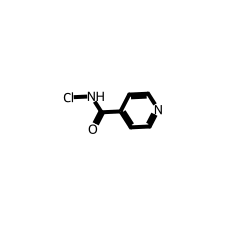 O=C(NCl)c1ccncc1